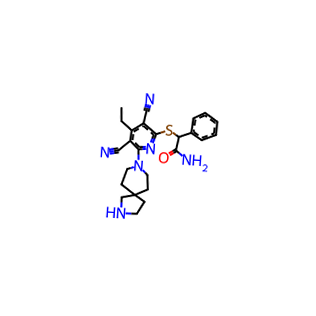 CCc1c(C#N)c(SC(C(N)=O)c2ccccc2)nc(N2CCC3(CCNC3)CC2)c1C#N